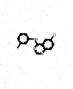 Cc1cccc(Nc2ncnc3ccc(Cl)cc23)c1